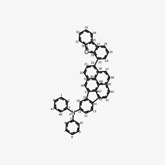 c1ccc(N(c2ccccc2)c2ccc3c(c2)-c2cc4ccc(-c5cccc6c5oc5ccccc56)c5ccc6ccc-3c2c6c45)cc1